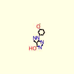 COc1cccc(-n2ncc3c(O)ncnc32)c1